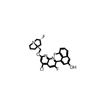 Oc1cc(-c2nc3nc(OC[C@@]45CCCN4C[C@H](F)C5)cc(Cl)c3cc2F)c2c(F)cccc2c1